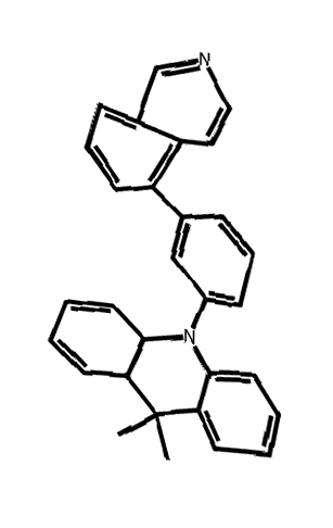 CC1(C)c2ccccc2N(c2cccc(-c3cccc4cnccc34)c2)C2C=CC=CC21